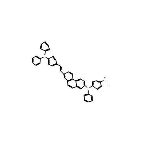 C[SiH](C)c1ccc(N(c2ccccc2)c2ccc3c(ccc4cc(/C=C/c5ccc(N(c6ccccc6)c6ccccc6)cc5)ccc43)c2)cc1